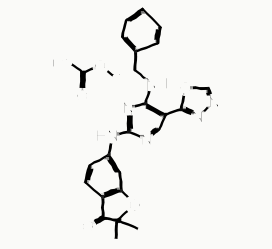 CC(C)C(=O)OC[C@@H](Nc1nc(Nc2ccc3c(c2)OC(C)(C)C3=O)ncc1-c1nnco1)c1ccccc1